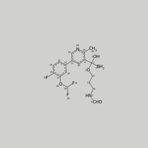 BC(O)(OCCCNC=O)c1cc(-c2ccc(F)c(OC(F)F)c2)cnc1C